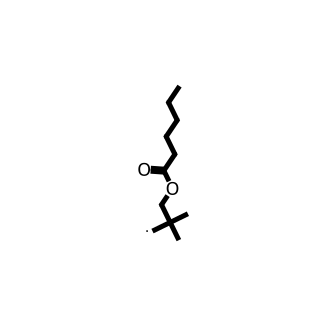 [CH2]C(C)(C)COC(=O)CCCCC